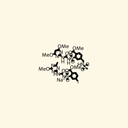 COC(=O)c1ccc(CNS(C)(=O)=O)cc1S(=O)(=O)NC(=O)Nc1nc(OC)cc(OC)n1.COC(=O)c1ccc(I)cc1S(=O)(=O)[N-]C(=O)Nc1nc(C)nc(OC)n1.[Na+]